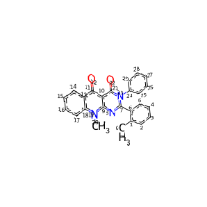 Cc1ccccc1-c1nc2c(c(=O)c3ccccc3n2C)c(=O)n1-c1ccccc1